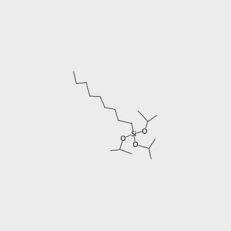 CCCCCCCCC[Si](OC(C)C)(OC(C)C)OC(C)C